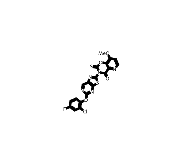 COc1ccnc2c(=O)n(-c3nc4cnc(Oc5ccc(F)cc5Cl)nc4s3)c(=S)oc12